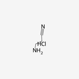 Cl.N#CCCN